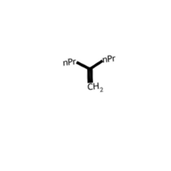 [CH2]CCC(=C)CCC